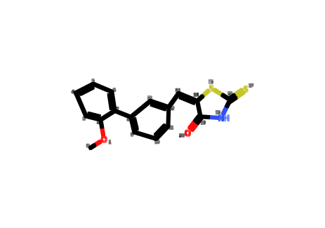 COc1ccccc1-c1cccc(C=C2SC(=S)NC2=O)c1